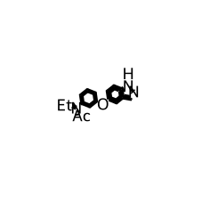 CCN(C(C)=O)[C@H]1CCC[C@H](Oc2ccc3[nH]ncc3c2)C1